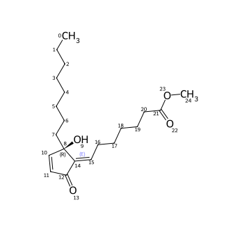 CCCCCCCC[C@@]1(O)C=CC(=O)/C1=C/CCCCCC(=O)OC